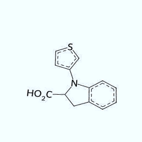 O=C(O)C1Cc2ccccc2N1c1ccsc1